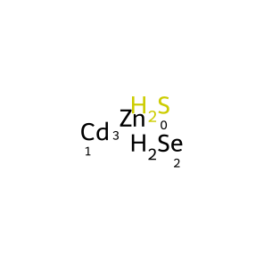 S.[Cd].[SeH2].[Zn]